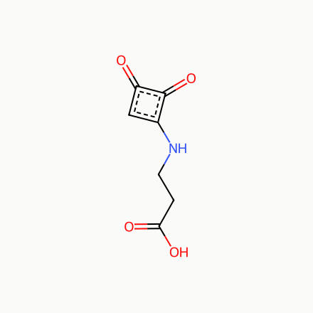 O=C(O)CCNc1cc(=O)c1=O